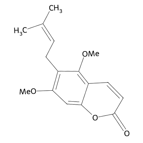 COc1cc2oc(=O)ccc2c(OC)c1CC=C(C)C